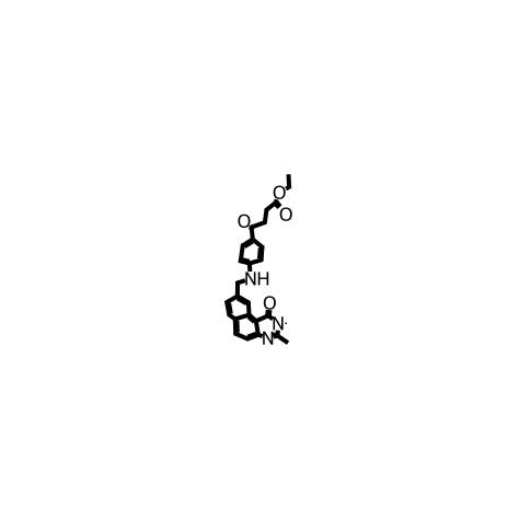 CCOC(=O)CCC(=O)c1ccc(NCc2ccc3ccc4c(c3c2)C(=O)[N]C(C)=N4)cc1